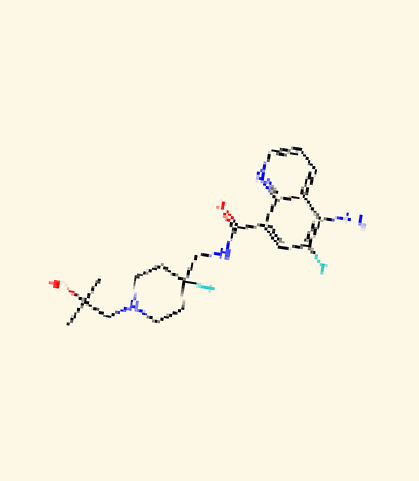 CC(C)(O)CN1CCC(F)(CNC(=O)c2cc(F)c(N)c3cccnc23)CC1